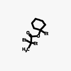 CCC1(OC(=O)C(C)(CC)CC)CCCCC1